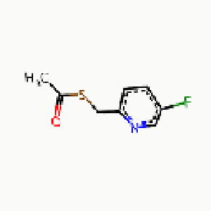 CC(=O)SCc1ccc(F)cn1